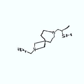 CC(C)CN1CC2(CCN(CC(C)S)CC2)C1